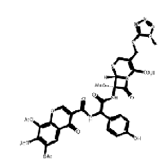 CO[C@@]1(NC(=O)C(NC(=O)c2coc3c(OC(C)=O)c(OC(C)=O)c(OC(C)=O)cc3c2=O)c2ccc(O)cc2)C(=O)N2C(C(=O)O)=C(CSc3nnnn3C)CS[C@H]21